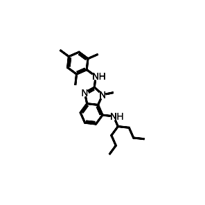 CCCC(CCC)Nc1cccc2nc(Nc3c(C)cc(C)cc3C)n(C)c12